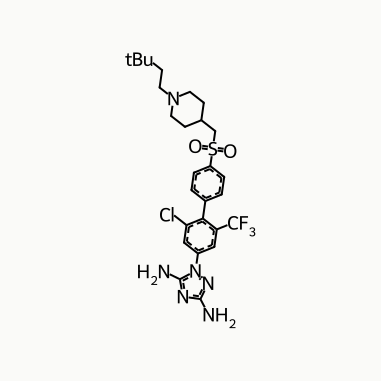 CC(C)(C)CCN1CCC(CS(=O)(=O)c2ccc(-c3c(Cl)cc(-n4nc(N)nc4N)cc3C(F)(F)F)cc2)CC1